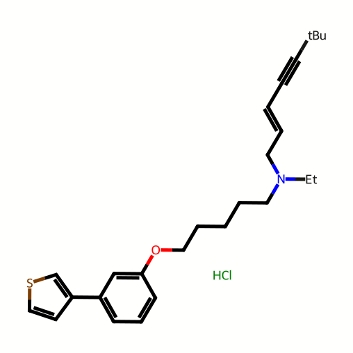 CCN(CC=CC#CC(C)(C)C)CCCCCOc1cccc(-c2ccsc2)c1.Cl